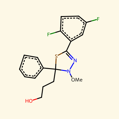 CON1N=C(c2cc(F)ccc2F)SC1(CCCO)c1ccccc1